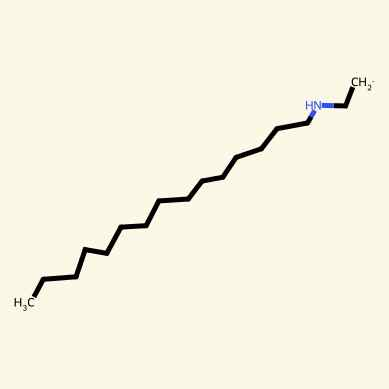 [CH2]CNCCCCCCCCCCCCCCC